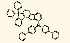 c1ccc(-c2ccc(N(c3ccc(-c4ccccc4)cc3)c3cccc4c3oc3c5c(ccc34)C(c3ccccc3)(c3ccccc3)c3ccccc3-5)cc2)cc1